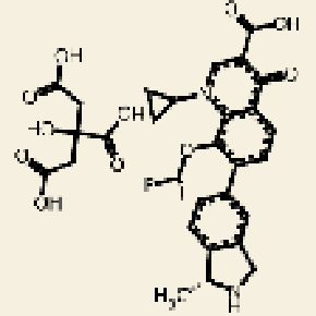 C[C@H]1NCc2cc(-c3ccc4c(=O)c(C(=O)O)cn(C5CC5)c4c3OC(F)F)ccc21.O=C(O)CC(O)(CC(=O)O)C(=O)O